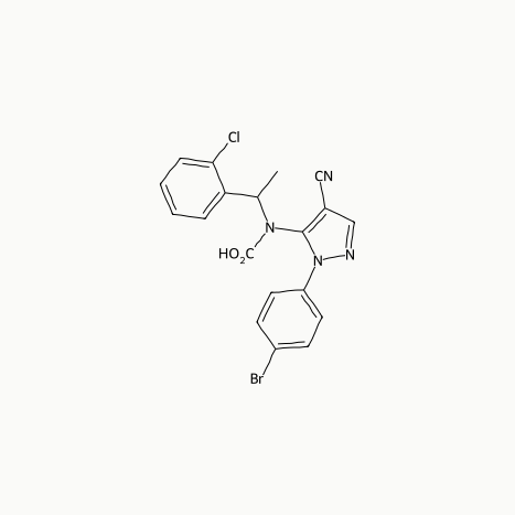 CC(c1ccccc1Cl)N(C(=O)O)c1c(C#N)cnn1-c1ccc(Br)cc1